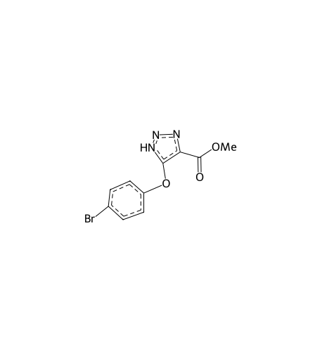 COC(=O)c1nn[nH]c1Oc1ccc(Br)cc1